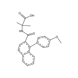 COc1ccc(-c2c(C(=O)NC(C)(C)C(=O)O)ccc3ccccc23)cc1